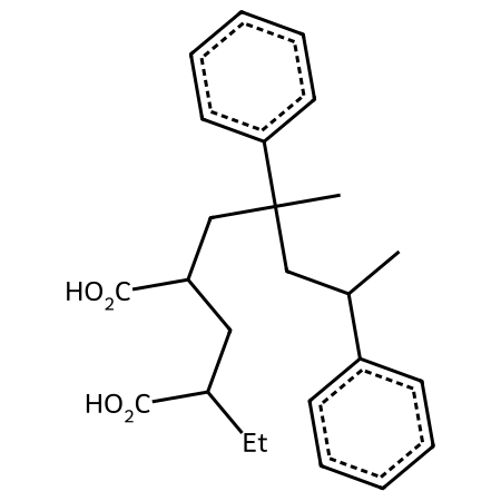 CCC(CC(CC(C)(CC(C)c1ccccc1)c1ccccc1)C(=O)O)C(=O)O